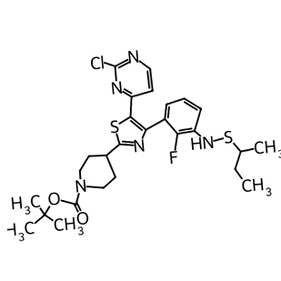 CCC(C)SNc1cccc(-c2nc(C3CCN(C(=O)OC(C)(C)C)CC3)sc2-c2ccnc(Cl)n2)c1F